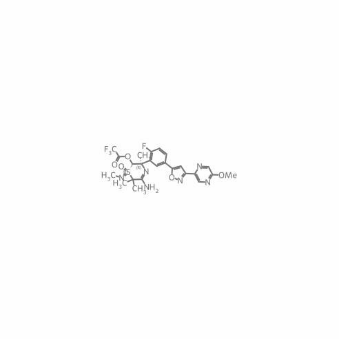 CN=[S@]1(=O)C(OC(=O)C(F)(F)F)[C@@](C)(c2cc(-c3cc(-c4cnc(OC)cn4)no3)ccc2F)N=C(N)C1(C)C